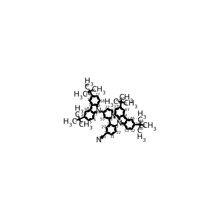 CC(C)(C)c1ccc2c(c1)c1cc(C(C)(C)C)ccc1n2-c1ccnc(-c2cc(C#N)ccc2-n2c3ccc(C(C)(C)C)cc3c3cc(C(C)(C)C)ccc32)c1